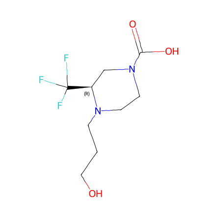 O=C(O)N1CCN(CCCO)[C@@H](C(F)(F)F)C1